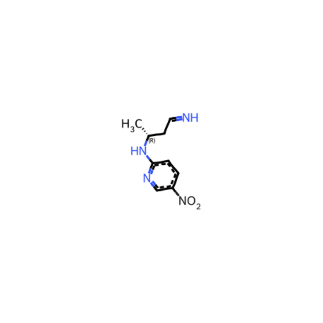 C[C@H](CC=N)Nc1ccc([N+](=O)[O-])cn1